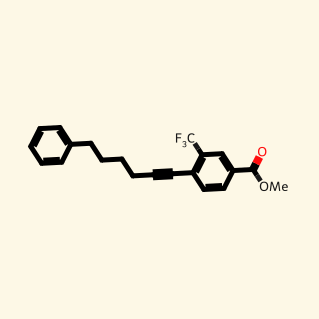 COC(=O)c1ccc(C#CCCCCc2ccccc2)c(C(F)(F)F)c1